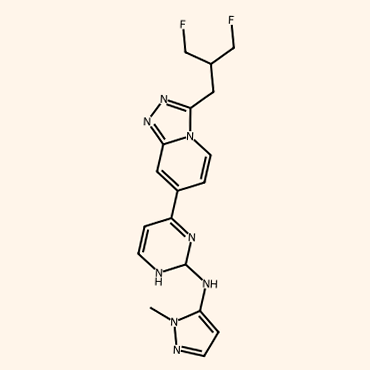 Cn1nccc1NC1N=C(c2ccn3c(CC(CF)CF)nnc3c2)C=CN1